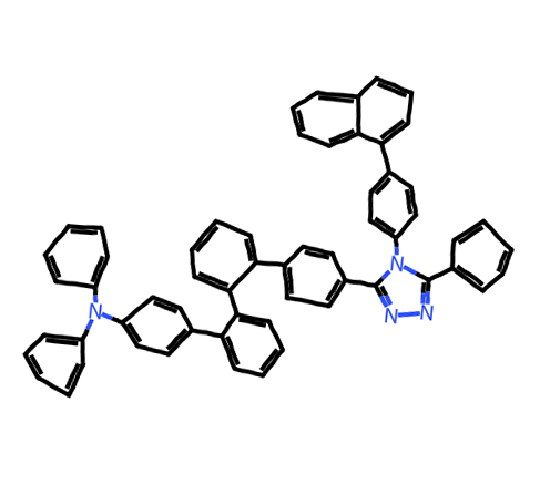 c1ccc(-c2nnc(-c3ccc(-c4ccccc4-c4ccccc4-c4ccc(N(c5ccccc5)c5ccccc5)cc4)cc3)n2-c2ccc(-c3cccc4ccccc34)cc2)cc1